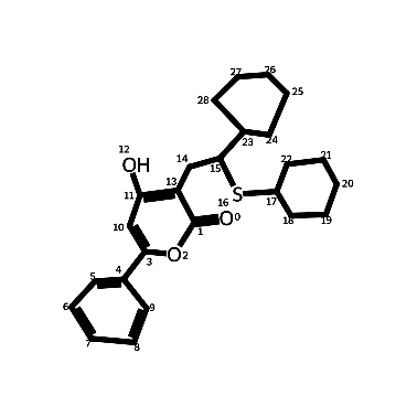 O=c1oc(-c2ccccc2)cc(O)c1CC(SC1CCCCC1)C1CCCCC1